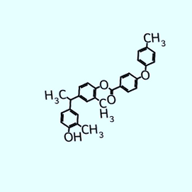 Cc1ccc(Oc2ccc(C(=O)Oc3ccc(C(C)c4ccc(O)c(C)c4)cc3C)cc2)cc1